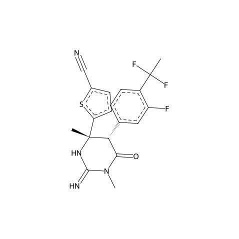 CN1C(=N)N[C@](C)(c2ccc(C#N)s2)[C@H](c2ccc(C(C)(F)F)c(F)c2)C1=O